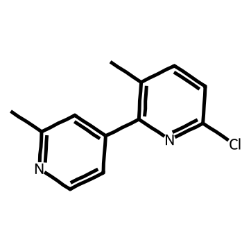 Cc1cc(-c2nc(Cl)ccc2C)ccn1